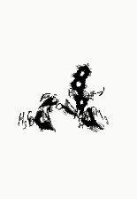 CO[C@@H]1CCN(C[C@@]2(COc3nc(N4C[C@H]5CC[C@@](C)(C4)N5)c4cc(F)c(C5(O)C=Cc6ccccc6C5)c(F)c4n3)CC2(F)F)C1